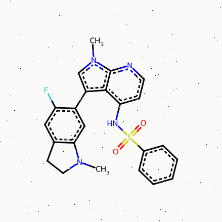 CN1CCc2cc(F)c(-c3cn(C)c4nccc(NS(=O)(=O)c5ccccc5)c34)cc21